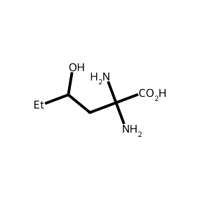 CCC(O)CC(N)(N)C(=O)O